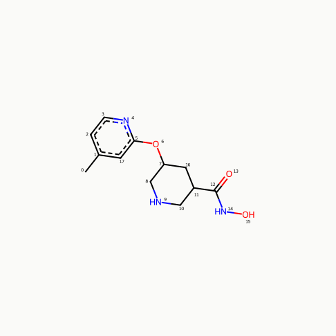 Cc1ccnc(OC2CNCC(C(=O)NO)C2)c1